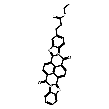 CCOC(=O)CCc1ccc2c(c1)nc1c3ccc4c(=O)n5c6ccccc6nc5c5ccc(c(=O)n21)c3c45